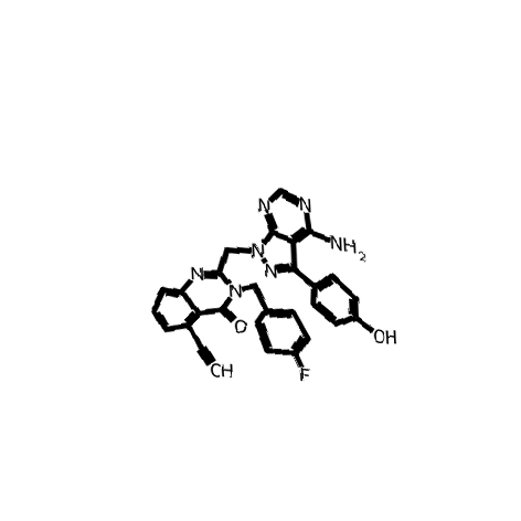 C#Cc1cccc2nc(Cn3nc(-c4ccc(O)cc4)c4c(N)ncnc43)n(Cc3ccc(F)cc3)c(=O)c12